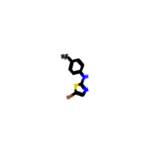 Cc1ccc(Nc2ncc(Br)s2)cc1